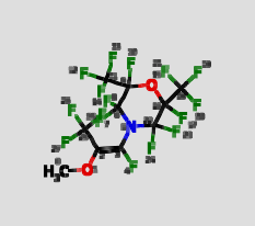 CO/C(=C(\F)N1C(F)(F)C(F)(C(F)(F)F)OC(F)(C(F)(F)F)C1(F)F)C(F)(F)F